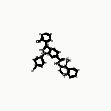 O=C(N[C@@H](CO)[C@@H](O)c1ccccc1)c1ccc2c(-c3ccccc3Cl)nn(-c3ccc(F)cc3)c2c1